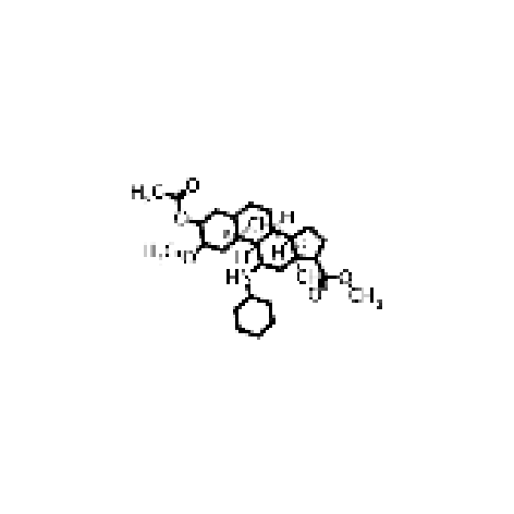 COC(=O)C1CC[C@H]2[C@@H]3CCC4CC(OC(C)=O)C(OC)C[C@]4(C)[C@@H]3C(NC3CCCCC3)C[C@]12C